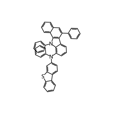 c1ccc(-c2cc3ccccc3c3c2c2cccc(N(c4ccccc4)c4ccc5c(c4)sc4ccccc45)c2n3-c2ccccc2)cc1